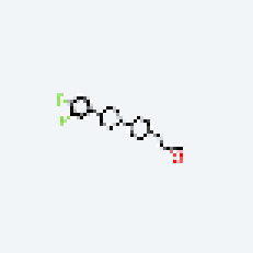 Fc1ccc(C2CCC(C3CCC(CCC4CO4)CC3)CC2)cc1F